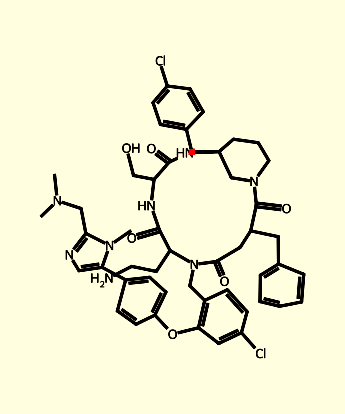 CN(C)Cc1ncc(-c2ccc(Oc3cc(Cl)ccc3CN3C(=O)CC(Cc4ccccc4)C(=O)N4CCCC(Cc5ccc(Cl)cc5)(C4)NC(=O)C(CO)NC(=O)C3CCN)cc2)n1C